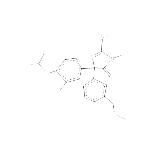 COCc1cccc(C2(c3ccc(OC(F)F)c(C)c3)N=C(N)N(C)C2=O)c1